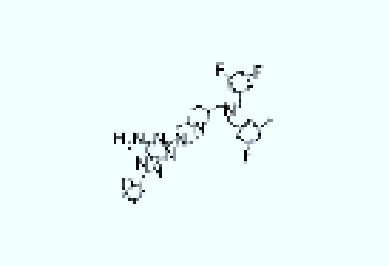 Nc1nc(N2CCN3CC(CN(Cc4cc(F)cc(F)c4)Cc4cc(F)cc(F)c4)CCC3C2)nc2nc(-c3ccco3)nn12